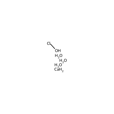 O.O.O.OCl.[CaH2]